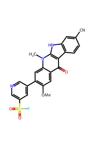 COc1cc2c(=O)c3c4ccc(C#N)cc4[nH]c3n(C)c2cc1-c1cncc(S(=O)(=O)F)c1